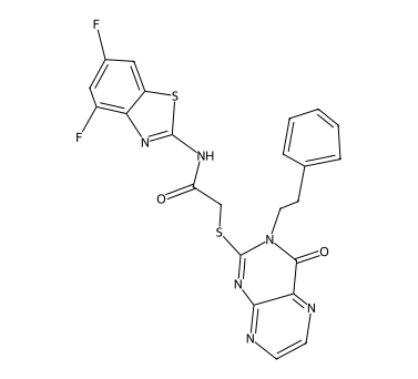 O=C(CSc1nc2nccnc2c(=O)n1CCc1ccccc1)Nc1nc2c(F)cc(F)cc2s1